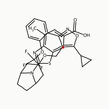 Cc1cc(C(=O)O)cc2sc(N3C4CCC3CC(OCc3c(-c5ccccc5OC(F)(F)F)noc3C3CC3)C4)nc12